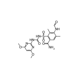 COc1cc(OC)nc(NC(=O)NS(=O)(=O)c2c(C(N)=O)cc(C)c(NC=O)c2C)n1